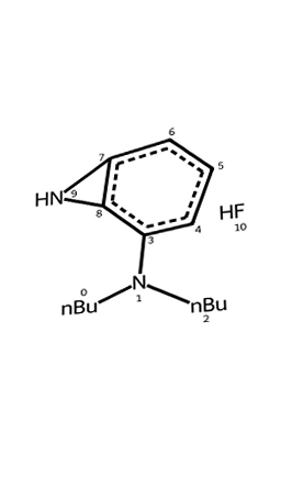 CCCCN(CCCC)c1cccc2c1N2.F